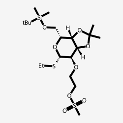 CCS[C@@H]1O[C@H](CO[Si](C)(C)C(C)(C)C)[C@@H]2OC(C)(C)O[C@@H]2[C@H]1OCCOS(C)(=O)=O